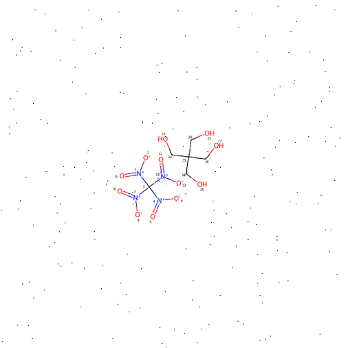 O=[N+]([O-])C([N+](=O)[O-])([N+](=O)[O-])[N+](=O)[O-].OCC(CO)(CO)CO